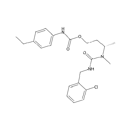 CCc1ccc(NC(=O)OCC[C@H](C)N(C)C(=O)NCc2ccccc2Cl)cc1